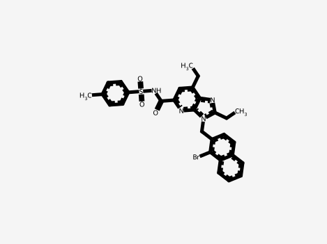 CCc1cc(C(=O)NS(=O)(=O)c2ccc(C)cc2)nc2c1nc(CC)n2Cc1ccc2ccccc2c1Br